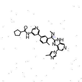 C/N=C(/c1nc2c(-n3cnc(C)c3)cncc2[nH]1)c1cc(-c2cncc(NC(=O)C3CCCC3)c2)ccc1C